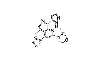 Cc1cnc(-c2ccn[nH]2)c2nc(N3CCOC[C@H]3C)cc(-c3cc[c]s3)c12